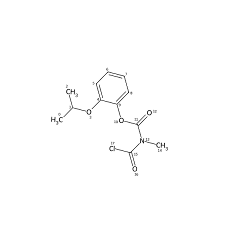 CC(C)Oc1ccccc1OC(=O)N(C)C(=O)Cl